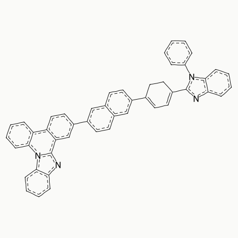 C1=C(c2ccc3cc(-c4ccc5c6ccccc6n6c7ccccc7nc6c5c4)ccc3c2)CCC(c2nc3ccccc3n2-c2ccccc2)=C1